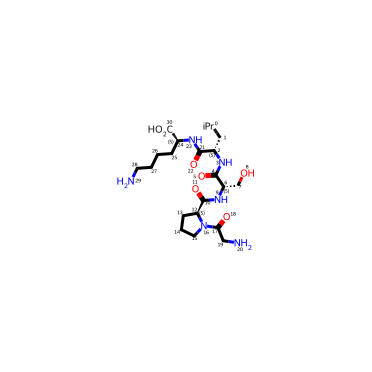 CC(C)C[C@H](NC(=O)[C@H](CO)NC(=O)[C@@H]1CCCN1C(=O)CN)C(=O)N[C@@H](CCCCN)C(=O)O